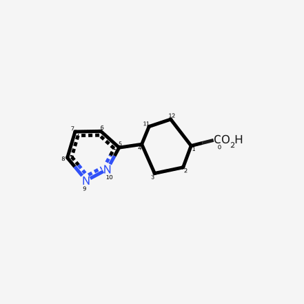 O=C(O)C1CCC(c2cccnn2)CC1